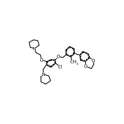 Cc1c(COc2cc(OCCN3CCCCC3)c(CN3CCCCC3)cc2Cl)cccc1-c1ccc2c(c1)OCCO2